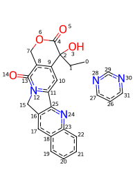 CCC1(O)C(=O)OCc2c1cc1n(c2=O)Cc2cc3ccccc3nc2-1.c1cncnc1